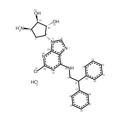 Cl.N[C@@H]1C[C@@H](n2cnc3c(NCC(c4ccccc4)c4ccccc4)nc(Cl)nc32)[C@@H](O)[C@@H]1O